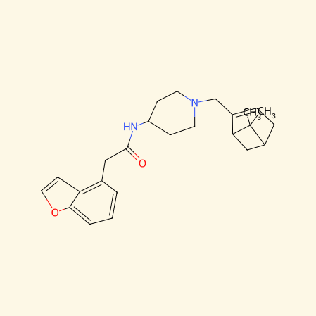 CC1(C)C2CC=C(CN3CCC(NC(=O)Cc4cccc5occc45)CC3)C1C2